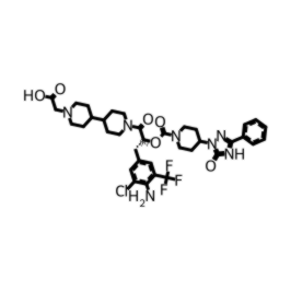 Nc1c(Cl)cc(C[C@@H](OC(=O)N2CCC(n3nc(-c4ccccc4)[nH]c3=O)CC2)C(=O)N2CCC(C3CCN(CC(=O)O)CC3)CC2)cc1C(F)(F)F